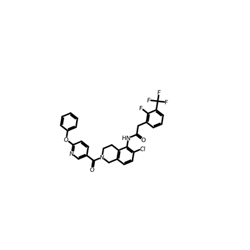 O=C(Cc1cccc(C(F)(F)F)c1F)Nc1c(Cl)ccc2c1CCN(C(=O)c1ccc(Oc3ccccc3)nc1)C2